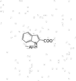 O=C([O-])c1cc2ccccc2[nH]1.[CH3][Al+][CH3]